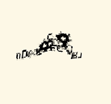 CCCCCCCCCCOc1ccc(C(=O)Oc2ccccc2C(=O)OC[C@@H](C)CC)c(F)c1